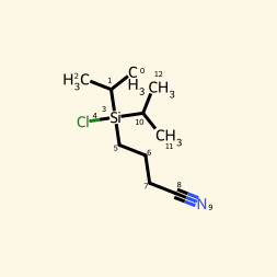 CC(C)[Si](Cl)(CCCC#N)C(C)C